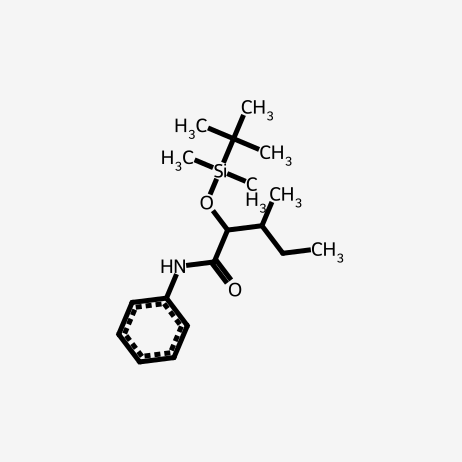 CCC(C)C(O[Si](C)(C)C(C)(C)C)C(=O)Nc1ccccc1